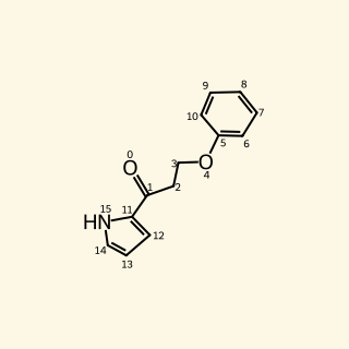 O=C(CCOc1ccccc1)c1ccc[nH]1